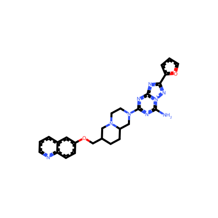 Nc1nc(N2CCN3CC(COc4ccc5ncccc5c4)CCC3C2)nc2nc(-c3ccco3)nn12